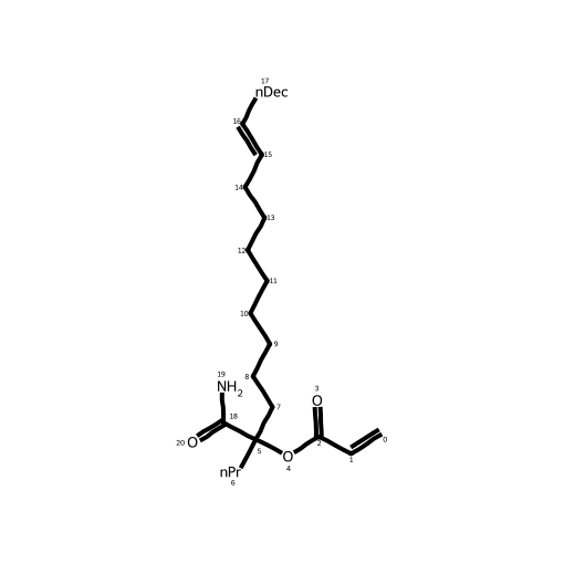 C=CC(=O)OC(CCC)(CCCCCCCCC=CCCCCCCCCCC)C(N)=O